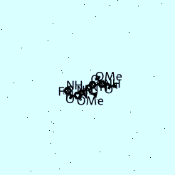 COC(=O)c1cc(NC(=O)C2CC2)ncc1-c1ccc2cc(-c3nc4cc(C(=O)N5C[C@H](N)C[C@@H](F)C5)cc(OC)c4n3C)n(CC3CC3)c2n1